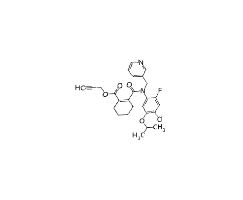 C#CCOC(=O)C1=C(C(=O)N(Cc2cccnc2)c2cc(OC(C)C)c(Cl)cc2F)CCCC1